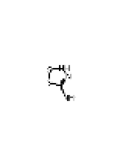 [NH]C1=NNSS1